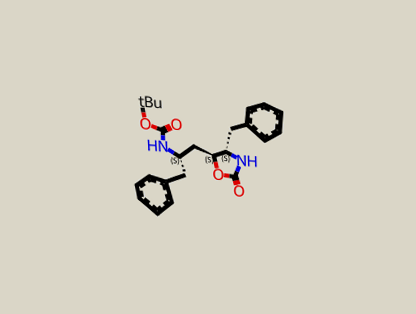 CC(C)(C)OC(=O)N[C@@H](Cc1ccccc1)C[C@@H]1OC(=O)N[C@H]1Cc1ccccc1